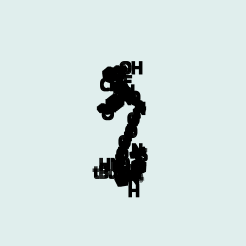 C=CC(=O)N1CCN(c2nc(OCCN(C)CCOCCOCCOCCOCC(=O)N[C@H](C(=O)N3CCC[C@H]3C(=O)N[C@@H](C)c3ccc(-c4scnc4C)cc3)C(C)(C)C)nc3c(F)c(-c4cc(O)cc5ccccc45)c(Cl)cc23)CC1